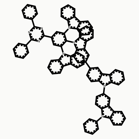 c1ccc(-c2nc(-c3ccccc3)nc(-c3cc(-n4c5ccccc5c5ccccc54)c(-n4c5ccccc5c5cc(-c6ccc7c(c6)c6ccccc6n7-c6ccc7c(c6)c6ccccc6n7-c6ccccc6)ccc54)c(-n4c5ccccc5c5ccccc54)c3)n2)cc1